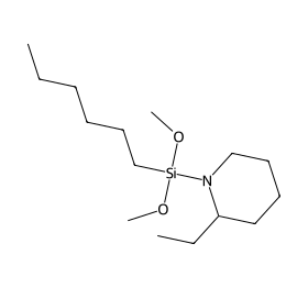 CCCCCC[Si](OC)(OC)N1CCCCC1CC